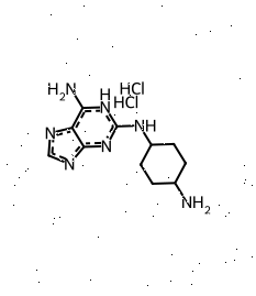 Cl.Cl.Nc1[nH]c(NC2CCC(N)CC2)nc2ncnc1-2